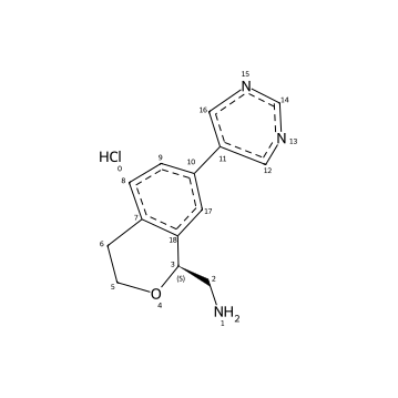 Cl.NC[C@H]1OCCc2ccc(-c3cncnc3)cc21